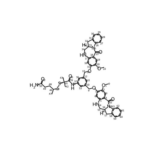 COc1cc2c(cc1OCc1cc(COc3cc4c(cc3OC)C(=O)N3c5ccccc5C[C@H]3CN4)cc(NC(=O)C(C)(C)SSC(C)CCC(N)=O)c1)NC[C@@H]1Cc3ccccc3N1C2=O